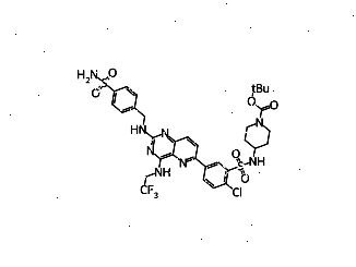 CC(C)(C)OC(=O)N1CCC(NS(=O)(=O)c2cc(-c3ccc4nc(NCc5ccc(S(N)(=O)=O)cc5)nc(NCC(F)(F)F)c4n3)ccc2Cl)CC1